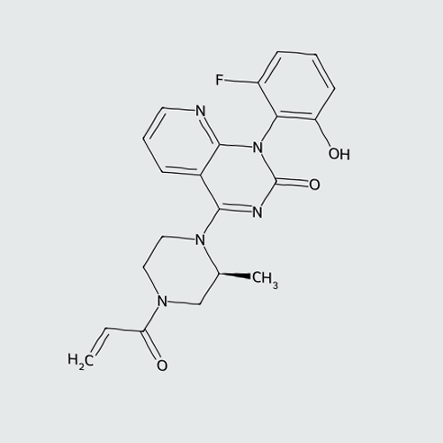 C=CC(=O)N1CCN(c2nc(=O)n(-c3c(O)cccc3F)c3ncccc23)[C@@H](C)C1